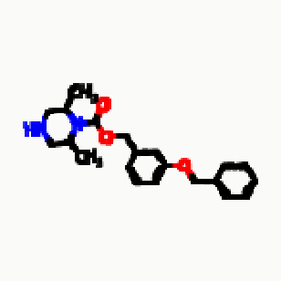 CC1CNCC(C)N1C(=O)OCc1cccc(OCc2ccccc2)c1